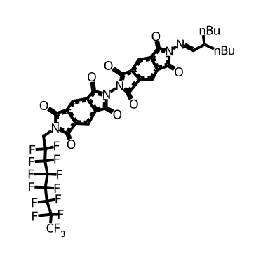 CCCCC(C=Nn1c(=O)c2cc3c(=O)n(-n4c(=O)c5cc6c(=O)n(CC(F)(F)C(F)(F)C(F)(F)C(F)(F)C(F)(F)C(F)(F)C(F)(F)F)c(=O)c6cc5c4=O)c(=O)c3cc2c1=O)CCCC